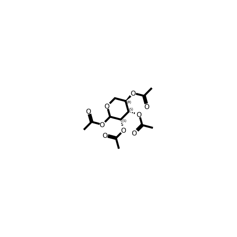 CC(=O)OC1OC[C@@H](OC(C)=O)[C@H](OC(C)=O)[C@@H]1OC(C)=O